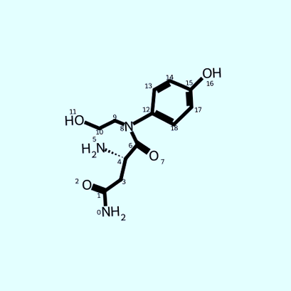 NC(=O)C[C@H](N)C(=O)N(CCO)c1ccc(O)cc1